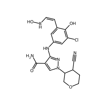 N#CC1CCOCC1n1cc(C(N)=O)c(Nc2cc(Cl)c(O)c(/C=C\BO)c2)n1